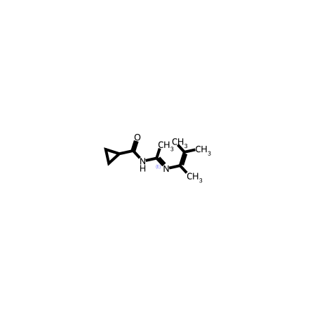 CC(C)=C(C)/N=C(\C)NC(=O)C1CC1